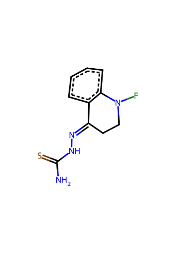 NC(=S)NN=C1CCN(F)c2ccccc21